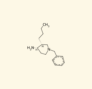 CCCC[C@@H]1CN(Cc2ccccc2)CC[C@@H]1N